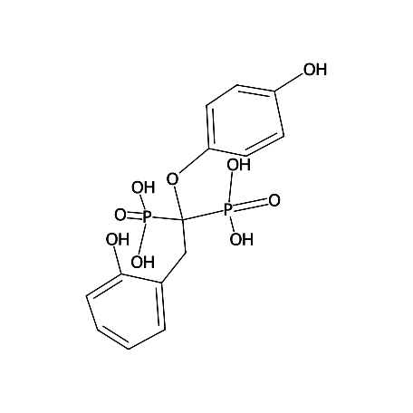 O=P(O)(O)C(Cc1ccccc1O)(Oc1ccc(O)cc1)P(=O)(O)O